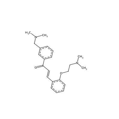 CN(C)CCOc1ccccc1/C=C/C(=O)c1cccc(CN(C)C)c1